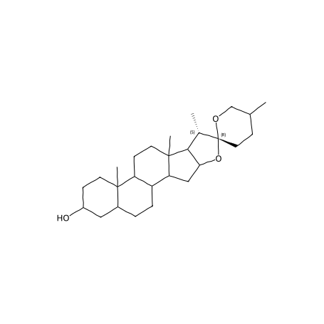 CC1CC[C@@]2(OC1)OC1CC3C4CCC5CC(O)CCC5(C)C4CCC3(C)C1[C@@H]2C